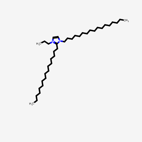 CCCCCCCCCCCCCCCCCn1cc[n+](CCC)c1CCCCCCCCCCCCCCCC